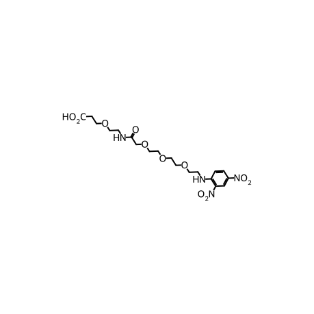 O=C(O)CCOCCNC(=O)COCCOCCOCCNc1ccc([N+](=O)[O-])cc1[N+](=O)[O-]